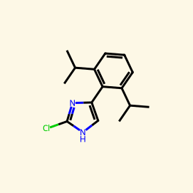 CC(C)c1cccc(C(C)C)c1-c1c[nH]c(Cl)n1